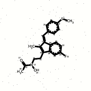 CSc1ccc(/C=C2/C(C)=C(CCN(O)C(C)=O)c3cc(F)ccc32)cc1